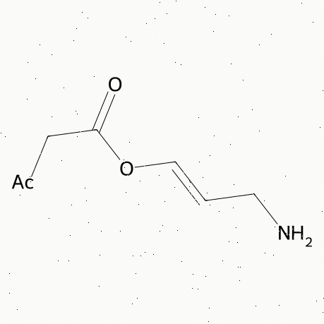 CC(=O)CC(=O)OC=CCN